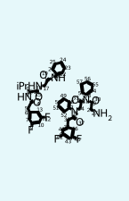 CC(C)[C@H](NC(=O)Cc1cc(F)cc(F)c1)C(=O)NCC(=O)Nc1ccccc1.NCC(=O)N(C(=O)CN(C(=O)Cc1cc(F)cc(F)c1)c1ccccc1)c1ccccc1